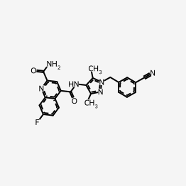 Cc1nn(Cc2cccc(C#N)c2)c(C)c1NC(=O)c1cc(C(N)=O)nc2cc(F)ccc12